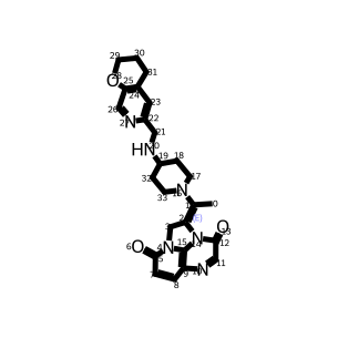 C/C(=C1/Cn2c(=O)ccc3ncc(=O)n1c32)N1CCC(NCc2cc3c(cn2)OCCC3)CC1